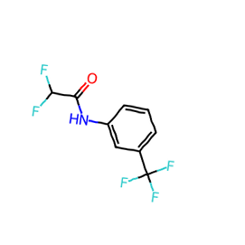 O=C(Nc1cccc(C(F)(F)F)c1)C(F)F